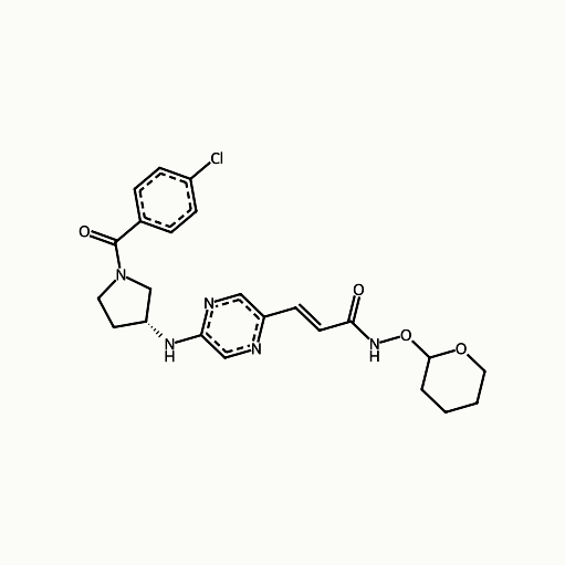 O=C(/C=C/c1cnc(N[C@@H]2CCN(C(=O)c3ccc(Cl)cc3)C2)cn1)NOC1CCCCO1